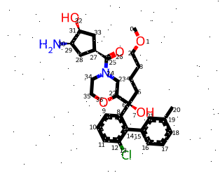 COCCCC[C@](O)(c1cccc(Cl)c1-c1cccc(C)c1)C1CN(C(=O)[C@H]2C[C@@H](N)[C@@H](O)C2)CCO1